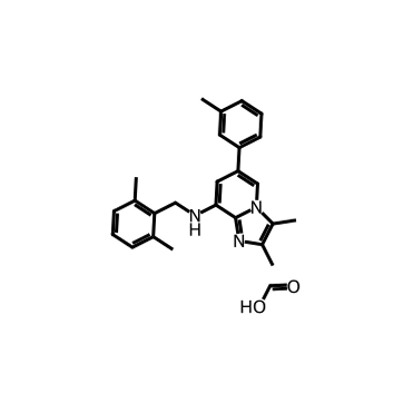 Cc1cccc(-c2cc(NCc3c(C)cccc3C)c3nc(C)c(C)n3c2)c1.O=CO